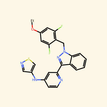 CCOc1cc(F)c(Cn2nc(-c3cc(Nc4cnsc4)ccn3)c3ccccc32)c(F)c1